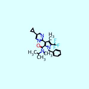 Cc1c(-c2ncc(C3CC3)cn2)c(C(=O)N(C)C(C)C)n(Cc2ccccc2)c1C(F)(F)F